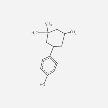 CC1CC(c2ccc(O)cc2)CC(C)(C)C1